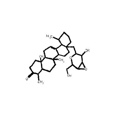 CC1CCCC2(CC3OC(CO)C4OC4C3O)CCC3C(=CCC4C3(C)CCC3C(C)C(=O)CCC34C)C12